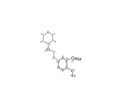 CCOc1ccc(CCOC2CCCCC2)cc1OC